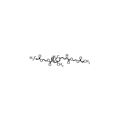 C=CC(=O)OCCOC(=O)NCCC(C)CC(C)(C)CNC(=O)OCCOC(=O)C=C